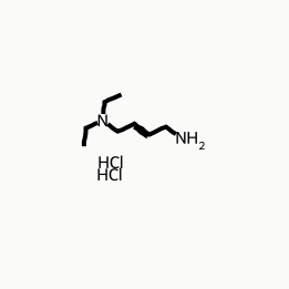 CCN(CC)CC=CCN.Cl.Cl